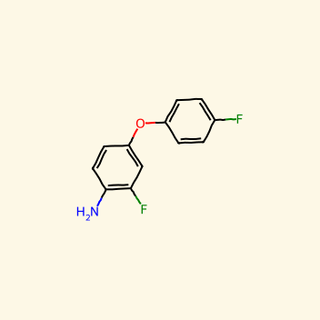 Nc1ccc(Oc2ccc(F)cc2)cc1F